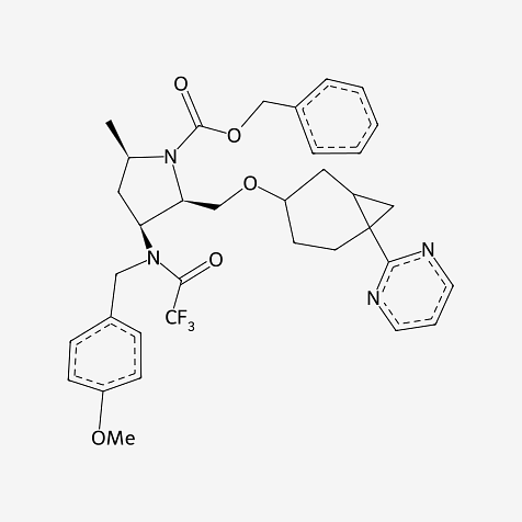 COc1ccc(CN(C(=O)C(F)(F)F)[C@H]2C[C@@H](C)N(C(=O)OCc3ccccc3)[C@H]2COC2CCC3(c4ncccn4)CC3C2)cc1